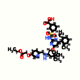 CCOC(=O)COc1ccc(CN[C@@H](COc2cc(-c3c(C)cccc3C)nc(NS(=O)(=O)c3cccc(C(=O)O)c3)n2)CC(C)(C)C)nc1